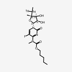 [2H]C([2H])(C)[C@@]1(C)O[C@@H](n2cc(F)c(N(C)C(=O)OCCCCC)nc2=O)[C@H](O)[C@]1(C)O